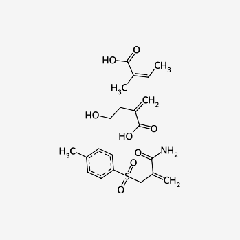 C=C(CCO)C(=O)O.C=C(CS(=O)(=O)c1ccc(C)cc1)C(N)=O.CC=C(C)C(=O)O